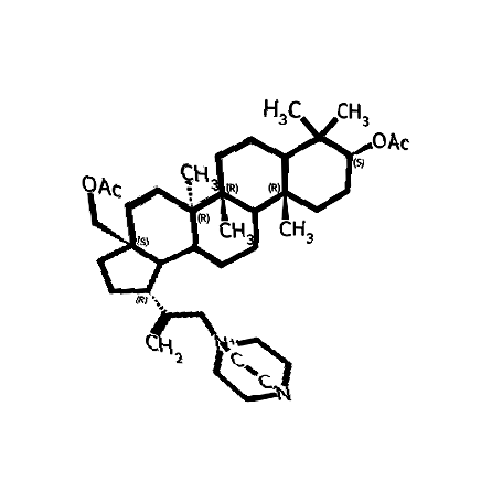 C=C(C[N+]12CCN(CC1)CC2)[C@@H]1CC[C@]2(COC(C)=O)CC[C@]3(C)C(CCC4[C@@]5(C)CC[C@H](OC(C)=O)C(C)(C)C5CC[C@]43C)C12